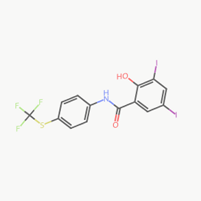 O=C(Nc1ccc(SC(F)(F)F)cc1)c1cc(I)cc(I)c1O